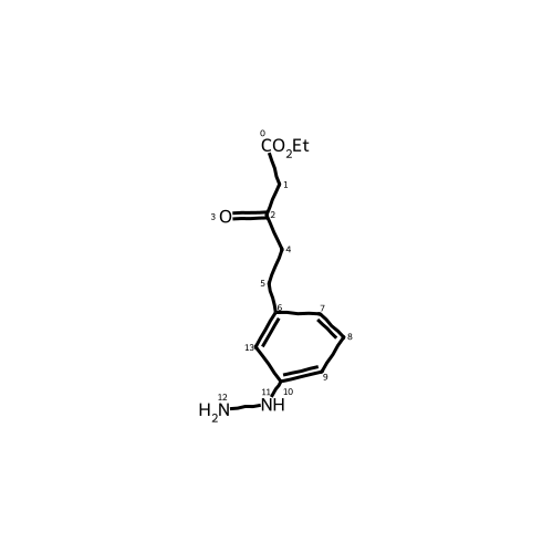 CCOC(=O)CC(=O)CCc1cccc(NN)c1